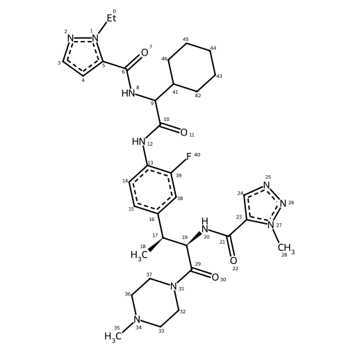 CCn1nccc1C(=O)NC(C(=O)Nc1ccc([C@H](C)[C@@H](NC(=O)c2cnnn2C)C(=O)N2CCN(C)CC2)cc1F)C1CCCCC1